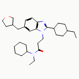 CCC1CCC(c2nc3ccc(CC4CCOC4)cc3n2CCC(=O)N(CC)C2CCCCC2)CC1